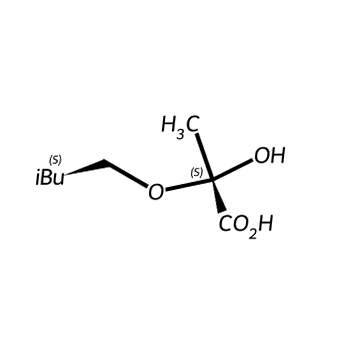 CC[C@H](C)CO[C@](C)(O)C(=O)O